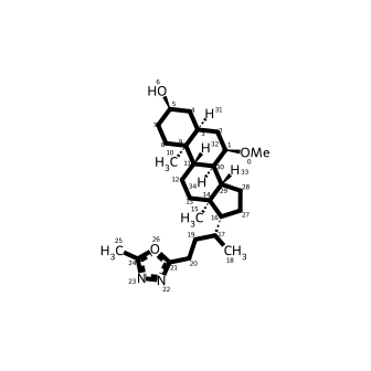 CO[C@@H]1C[C@@H]2C[C@H](O)CC[C@]2(C)[C@H]2CC[C@]3(C)[C@@H](C(C)CCc4nnc(C)o4)CC[C@H]3[C@H]12